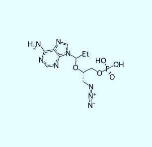 CCC(O[C@@H](CN=[N+]=[N-])COP(=O)(O)O)n1cnc2c(N)ncnc21